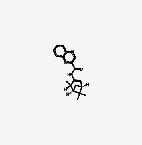 C[C@@H]1C(NC(=O)c2cnc3ccccc3n2)=C[C@@H]2C[C@H]1C2(C)C